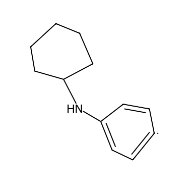 [c]1ccc(NC2CCCCC2)cc1